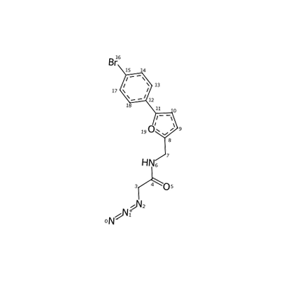 [N-]=[N+]=NCC(=O)NCc1ccc(-c2ccc(Br)cc2)o1